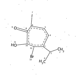 CC(C)c1ccc(I)c(=O)c(O)c1Br